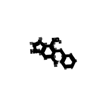 O=[N+]([O-])c1c(Cc2ccccc2)c(Br)cc2[nH]nnc12